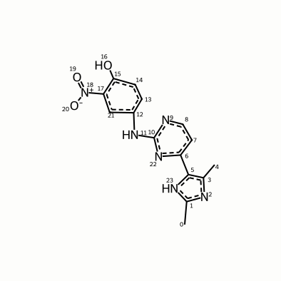 Cc1nc(C)c(-c2ccnc(Nc3ccc(O)c([N+](=O)[O-])c3)n2)[nH]1